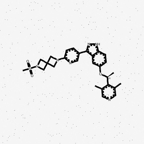 Cc1cncc(C)c1[C@H](C)Oc1ccc2[nH]nc(-c3ccc(N4CC5(C4)CN(S(C)(=O)=O)C5)nc3)c2c1